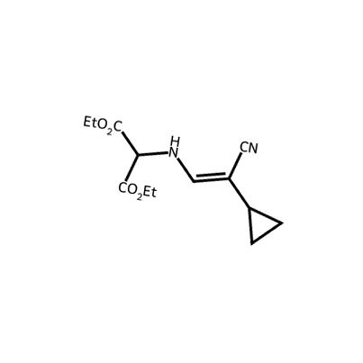 CCOC(=O)C(NC=C(C#N)C1CC1)C(=O)OCC